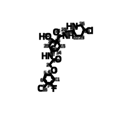 O=C(COc1ccc(Cl)c(F)c1)NC12CCC(C(=O)NCC3CCC(Cl)CN3)(CC1)C(O)C2